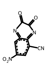 N#Cc1cc([N+](=O)[O-])cc2c1=NC(=O)C(=O)N=2